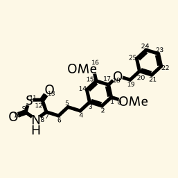 COc1cc(CCCC2NC(=O)SC2=O)cc(OC)c1OCc1ccccc1